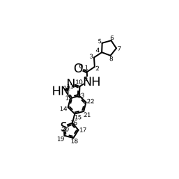 O=C(CCC1CCCC1)Nc1n[nH]c2cc(-c3cccs3)ccc12